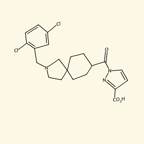 O=C(O)c1ccn(C(=O)C2CCC3(CC2)CCN(Cc2cc(Cl)ccc2Cl)C3)n1